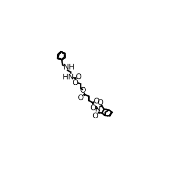 O=C(CCC(=O)ON1C(=O)C2C3C=CC(C3)C2C1=O)OCCOC(=O)NCCNCc1ccccc1